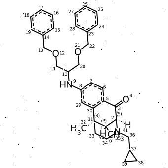 C[C@H]1[C@H]2C(=O)c3ccc(NC(COCc4ccccc4)COCc4ccccc4)cc3[C@]1(C)CCN2CC1CC1